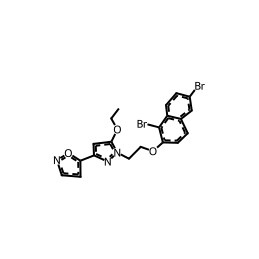 CCOc1cc(-c2ccno2)nn1CCOc1ccc2cc(Br)ccc2c1Br